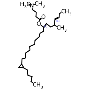 CC/C=C/C(C)C/C=C(\CCCCCCCCCCC1CC1CCCCC)OC(=O)CCCN(C)C